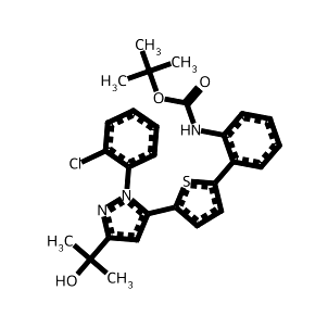 CC(C)(C)OC(=O)Nc1ccccc1-c1ccc(-c2cc(C(C)(C)O)nn2-c2ccccc2Cl)s1